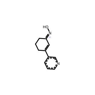 O/N=C1/C=C(c2cccnc2)CCC1